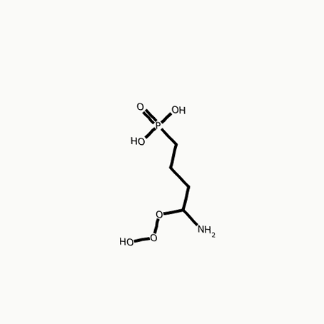 NC(CCCP(=O)(O)O)OOO